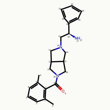 Cc1cccc(C)c1C(=O)N1CC2CN(C[C@H](N)c3ccccc3)CC2C1